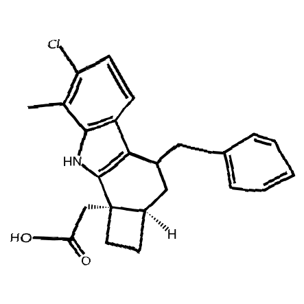 Cc1c(Cl)ccc2c3c([nH]c12)[C@]1(CC(=O)O)CC[C@@H]1CC3Cc1ccccc1